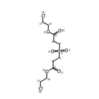 O=C(CCS(=O)(=O)CCC(=O)OCCCl)OCCCl